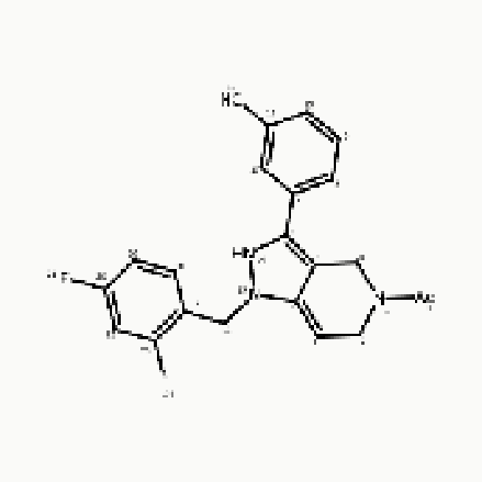 CC(=O)N1CC=C2C(=C(c3cccc(C#N)c3)NN2Cc2ccc(F)cc2F)C1